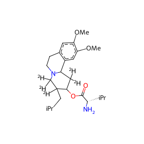 [2H]C1([2H])C2c3cc(OC)c(OC)cc3CCN2C([2H])([2H])C([2H])(CC(C)C)C1OC(=O)[C@@H](N)C(C)C